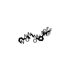 CN(CCNC(=O)c1cccc(-c2noc(C(F)(F)F)n2)c1)c1coc(-c2ccccn2)n1